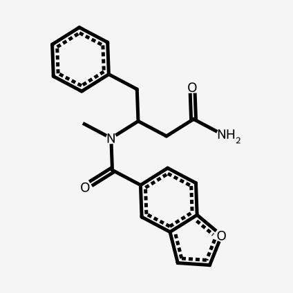 CN(C(=O)c1ccc2occc2c1)C(CC(N)=O)Cc1ccccc1